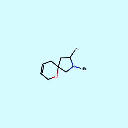 CC(C)C1CC2(CC=CCO2)CN1C(C)(C)C